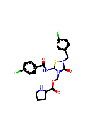 O=C(NC1SN(Cc2ccc(Cl)cc2)C(=O)N1COC(=O)C1CCCN1)c1ccc(Cl)cc1